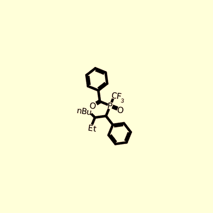 CCCCC(CC)C(c1ccccc1)P(=O)(C(=O)c1ccccc1)C(F)(F)F